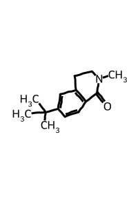 CN1CCc2cc(C(C)(C)C)ccc2C1=O